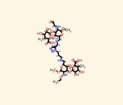 CCONC1C(OC)OC(CNCCCn2nncc2CNCC2OC(OC)C(NCC=O)C(OC3OC(C(=O)O)C(C)C(O)C3O)C2O)C(O)C1OC1OC(C(=O)O)C(C)C(O)C1O